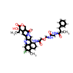 CC[C@@]1(O)C(=O)OCc2c1cc1n(c2=O)Cc2c-1nc1cc(F)c(C)c3c1c2[C@@H](NC(=O)COCNC(=O)CNC(=O)[C@@H](C)Cc1ccccc1)CC3